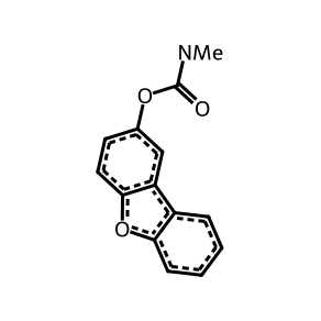 CNC(=O)Oc1ccc2oc3ccccc3c2c1